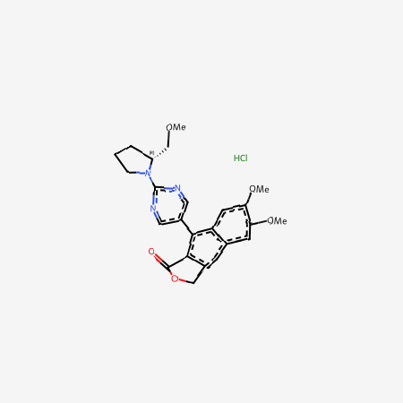 COC[C@H]1CCCN1c1ncc(-c2c3c(cc4cc(OC)c(OC)cc24)COC3=O)cn1.Cl